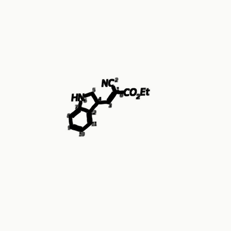 CCOC(=O)C(C#N)=CC1CNc2ccccc21